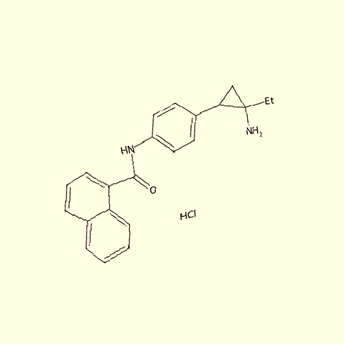 CCC1(N)CC1c1ccc(NC(=O)c2cccc3ccccc23)cc1.Cl